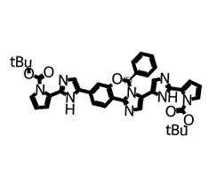 CC(C)(C)OC(=O)n1cccc1-c1ncc(-c2ccc3c(c2)O[C@@H](c2ccccc2)n2c(-c4cnc(-c5cccn5C(=O)OC(C)(C)C)[nH]4)cnc2-3)[nH]1